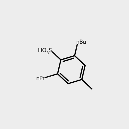 CCCCc1cc(C)cc(CCC)c1S(=O)(=O)O